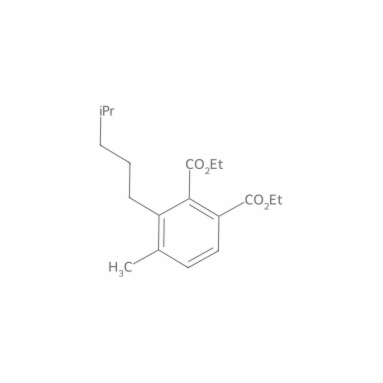 CCOC(=O)c1ccc(C)c(CCCC(C)C)c1C(=O)OCC